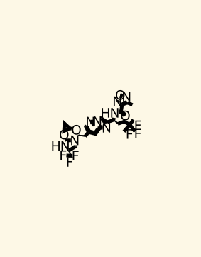 Cc1nonc1C(=O)N[C@@H](CCC(C)(C)C(F)(F)F)c1cn2ncc(C[C@H](OC3CC3)N3C[C@@H](C(F)(F)F)NC3=O)cc2n1